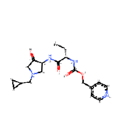 CC(C)C[C@H](NC(=O)OCc1ccncc1)C(=O)NC1CN(CC2CC2)CC1=O